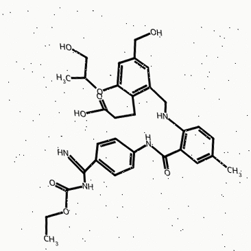 CCOC(=O)NC(=N)c1ccc(NC(=O)c2cc(C)ccc2NCc2cc(CO)cc(OC(C)CO)c2CCC(=O)O)cc1